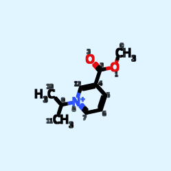 COC(=O)c1ccc[n+](C(C)C)c1